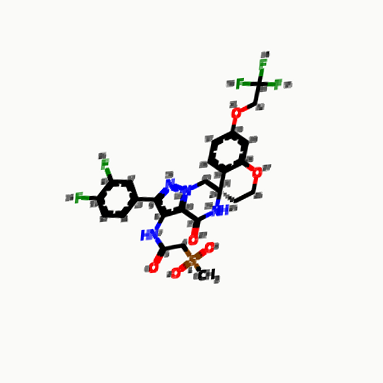 CS(=O)(=O)CC(=O)Nc1c(-c2ccc(F)c(F)c2)nn2c1C(=O)N[C@@]1(CCOc3cc(OCC(F)(F)F)ccc31)C2